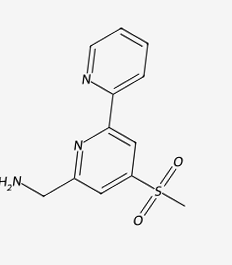 CS(=O)(=O)c1cc(CN)nc(-c2ccccn2)c1